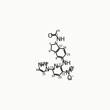 CC(=O)N[C@H]1CCc2cc(Nc3nc(-n4ccnn4)ccc3[N+](=O)[O-])ccc21